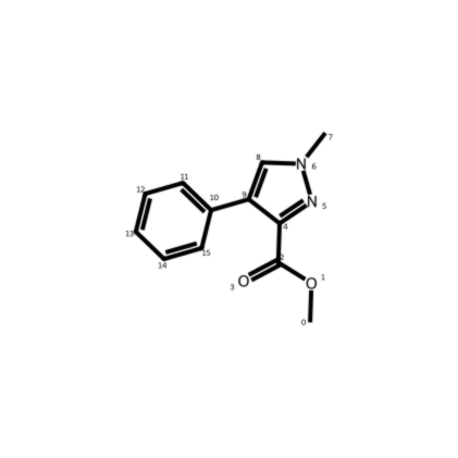 COC(=O)c1nn(C)cc1-c1ccccc1